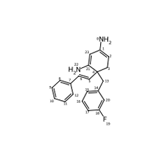 NC1=CCC(C=Cc2ccccc2)(Cc2cccc(F)c2)C(N)=C1